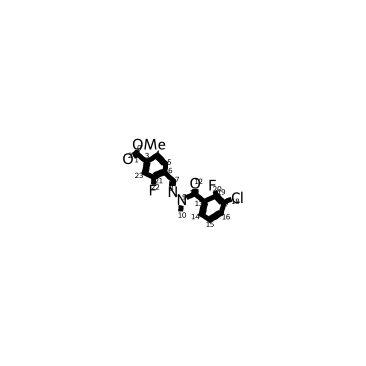 COC(=O)c1ccc(/C=N/N(C)C(=O)c2cccc(Cl)c2F)c(F)c1